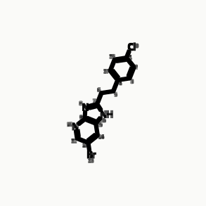 Clc1ccc(CCc2nc3ncc(Br)cc3[nH]2)cc1